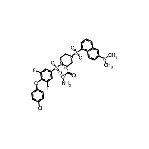 CN(C)c1ccc2c(S(=O)(=O)N3CCN(S(=O)(=O)c4cc(F)c(Oc5ccc(Cl)cc5)c(F)c4)[C@@H](C(=O)ON)C3)cccc2c1